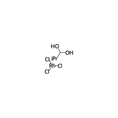 CC(C)C(O)O.[Cl][Rh]([Cl])[Cl]